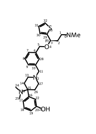 CNCC[C@@H](OCc1cccc(CN2CCC(c3cccc(O)c3)(N(C)C)CC2)c1)c1cccs1